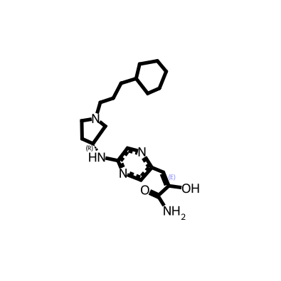 NC(=O)/C(O)=C\c1cnc(N[C@@H]2CCN(CCCC3CCCCC3)C2)cn1